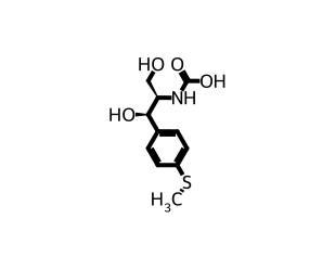 CSc1ccc([C@@H](O)[C@@H](CO)NC(=O)O)cc1